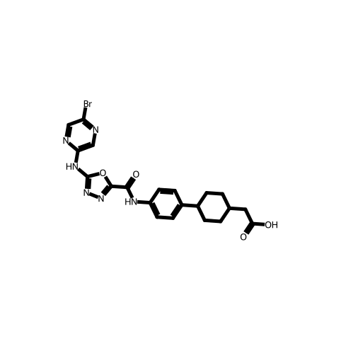 O=C(O)CC1CCC(c2ccc(NC(=O)c3nnc(Nc4cnc(Br)cn4)o3)cc2)CC1